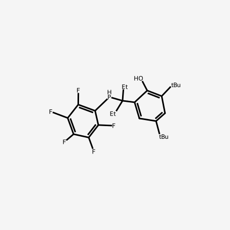 CCC(CC)(Pc1c(F)c(F)c(F)c(F)c1F)c1cc(C(C)(C)C)cc(C(C)(C)C)c1O